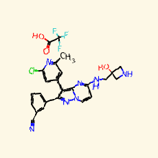 Cc1cc(-c2c(-c3cccc(C#N)c3)nn3ccc(NCC4(O)CNC4)nc23)cc(Cl)n1.O=C(O)C(F)(F)F